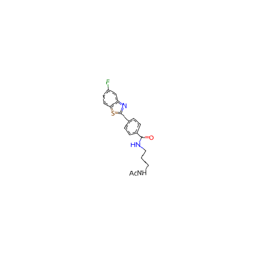 CC(=O)NCCCNC(=O)c1ccc(-c2nc3cc(F)ccc3s2)cc1